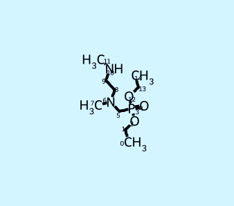 CCOP(=O)(CN(C)CCNC)OCC